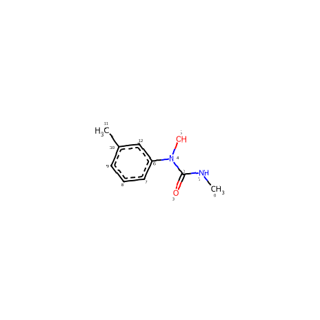 CNC(=O)N(O)c1cccc(C)c1